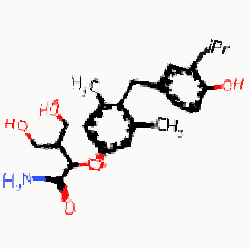 Cc1cc(OC(C(N)=O)C(CO)CO)cc(C)c1Cc1ccc(O)c(C(C)C)c1